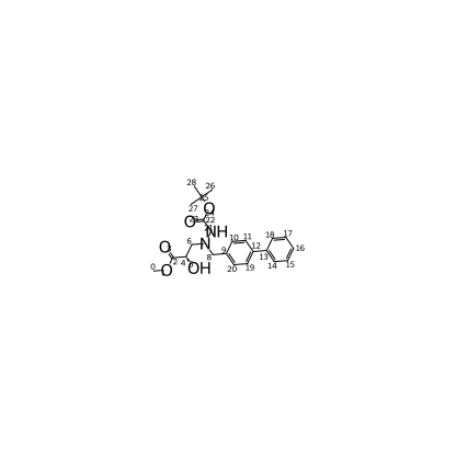 COC(=O)[C@H](O)CN(Cc1ccc(-c2ccccc2)cc1)NC(=O)OC(C)(C)C